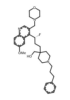 COc1ccc2ncc(CN3CCOCC3)c([C@H](F)CCC3(CO)CCN(CCCc4ccccc4)CC3)c2c1